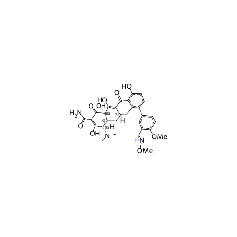 CO/N=C/c1cc(-c2ccc(O)c3c2C[C@H]2C[C@H]4[C@H](N(C)C)C(O)=C(C(N)=O)C(=O)[C@@]4(O)C(O)=C2C3=O)ccc1OC